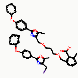 Cc1cccc(COCCCOCc2nc(-c3ccc(Oc4ccccc4)cc3)oc2C)c1C(=O)O.Cc1oc(-c2ccc(Oc3ccccc3)cc2)nc1CI